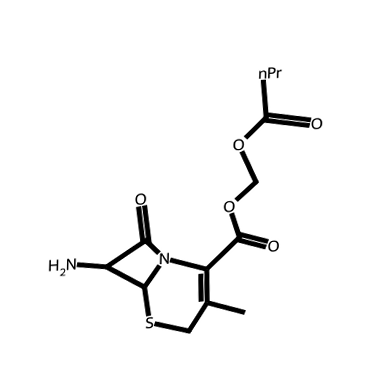 CCCC(=O)OCOC(=O)C1=C(C)CSC2C(N)C(=O)N12